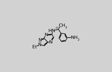 CCn1cc2ncc(N[C@@H](C)c3cccc(N)c3)nc2n1